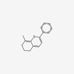 CC1=C2SC(c3ccccc3)=CC=C2CCC1